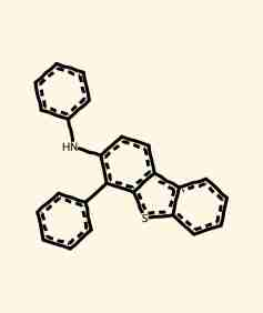 c1ccc(Nc2ccc3c(sc4ccccc43)c2-c2ccccc2)cc1